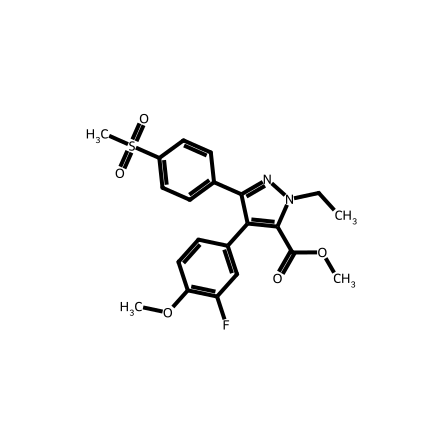 CCn1nc(-c2ccc(S(C)(=O)=O)cc2)c(-c2ccc(OC)c(F)c2)c1C(=O)OC